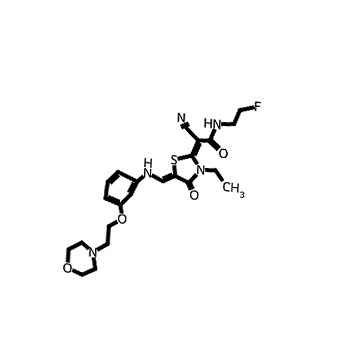 CCn1c(=C(C#N)C(=O)NCCF)sc(=CNc2cccc(OCCN3CCOCC3)c2)c1=O